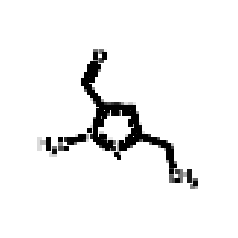 CCc1cc(C=O)n(C)n1